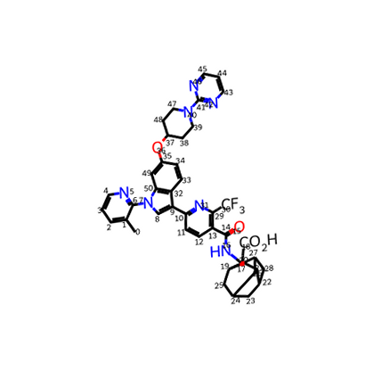 Cc1cccnc1-n1cc(-c2ccc(C(=O)NC3(C(=O)O)C4CCC5CC(C4)CC3C5)c(C(F)(F)F)n2)c2ccc(OC3CCN(c4ncccn4)CC3)cc21